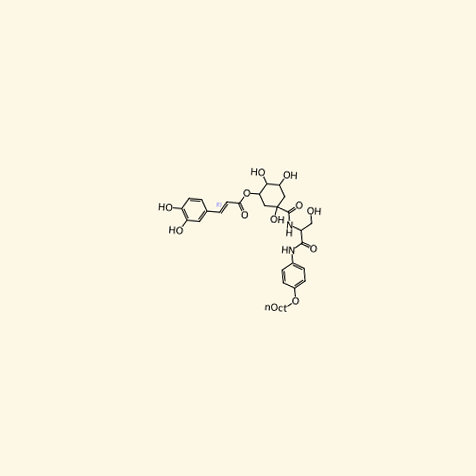 CCCCCCCCOc1ccc(NC(=O)C(CO)NC(=O)C2(O)CC(O)C(O)C(OC(=O)/C=C/c3ccc(O)c(O)c3)C2)cc1